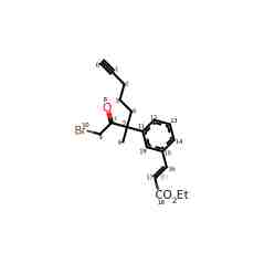 C#CCCCC(C)(C(=O)CBr)c1cccc(/C=C/C(=O)OCC)c1